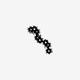 c1ccc(-c2ccc3ccc(-c4ccc5ccc(-c6ccc7ccc8cccnc8c7n6)nc5c4)cc3n2)cc1